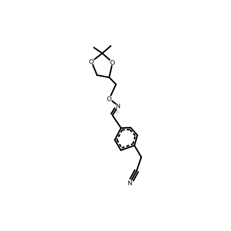 CC1(C)OCC(CO/N=C/c2ccc(CC#N)cc2)O1